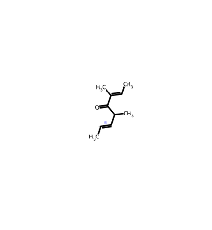 C/[C]=C/C(C)C(=O)C(C)=CC